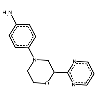 Nc1ccc(N2CCOC(c3ncccn3)C2)cc1